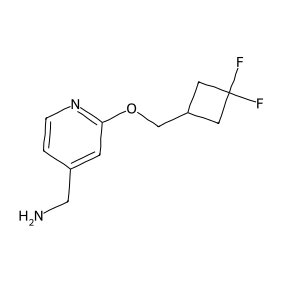 NCc1ccnc(OCC2CC(F)(F)C2)c1